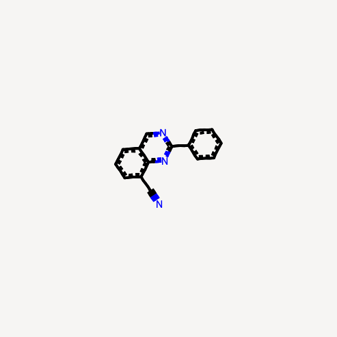 N#Cc1cccc2cnc(-c3ccccc3)nc12